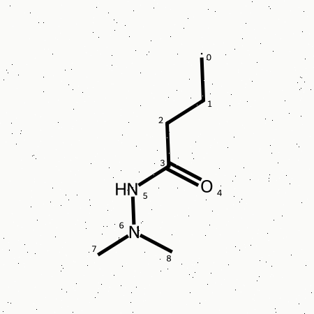 [CH2]CCC(=O)NN(C)C